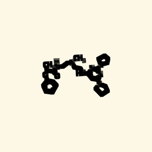 CC(Oc1ccccc1)C(=O)NCCN(C)CCNc1cc(N2CCCC2)nc(N2CCCC2)n1